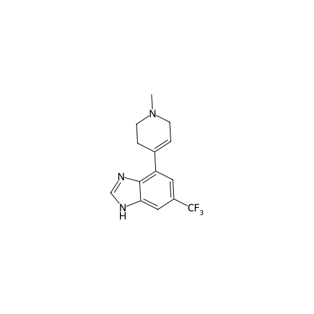 CN1CC=C(c2cc(C(F)(F)F)cc3[nH]cnc23)CC1